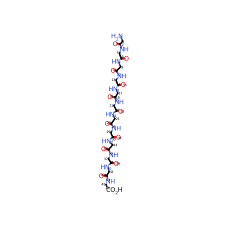 NCC(=O)NCC(=O)NCC(=O)NCC(=O)NCC(=O)NCC(=O)NCC(=O)NCC(=O)NCC(=O)NCC(=O)NCC(=O)NCC(=O)O